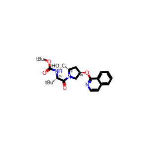 CC(C)(C)OC(=O)N[C@H](C(=O)N1C[C@H](Oc2nccc3ccccc23)C[C@H]1C(=O)O)C(C)(C)C